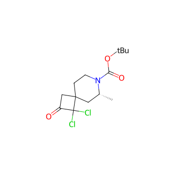 C[C@@H]1CC2(CCN1C(=O)OC(C)(C)C)CC(=O)C2(Cl)Cl